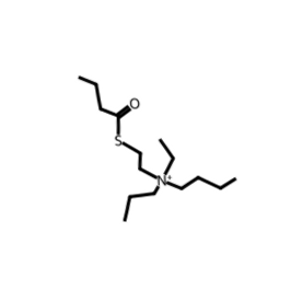 CCCC[N+](CC)(CCC)CCSC(=O)CCC